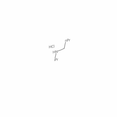 CCCCNC(C)C.Cl